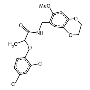 COc1cc2c(cc1CNC(=O)C(C)Oc1ccc(Cl)cc1Cl)OCCO2